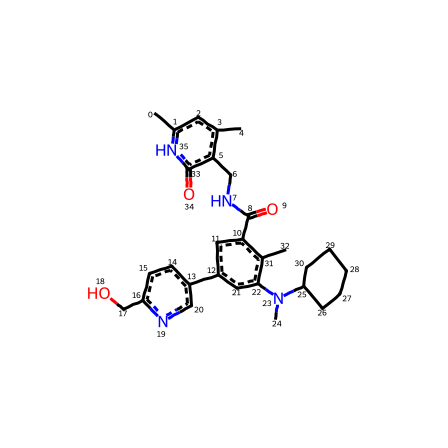 Cc1cc(C)c(CNC(=O)c2cc(-c3ccc(CO)nc3)cc(N(C)C3CCCCC3)c2C)c(=O)[nH]1